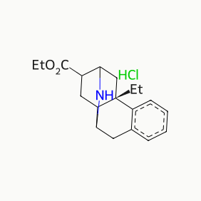 CCOC(=O)C1CC2C3Cc4ccccc4[C@@]2(CC)CC1N3.Cl